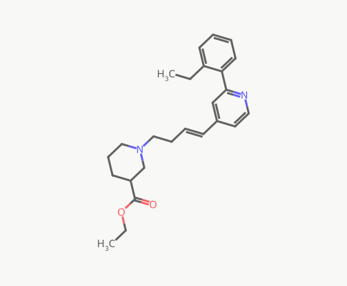 CCOC(=O)C1CCCN(CCC=Cc2ccnc(-c3ccccc3CC)c2)C1